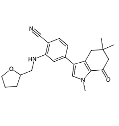 Cn1cc(-c2ccc(C#N)c(NCC3CCCO3)c2)c2c1C(=O)CC(C)(C)C2